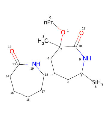 CCCOC1(C)CCCC([SiH3])NC1=O.O=C1CCCCCN1